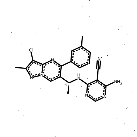 Cc1cccc(-c2nc3c(Cl)c(C)nn3cc2[C@H](C)Nc2ncnc(N)c2C#N)c1